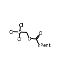 CCCCCC(=O)OCS(Cl)(Cl)Cl